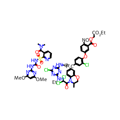 CC1COc2ccccc2N1C(=O)C(Cl)Cl.CCNc1nc(Cl)nc(NC(C)C)n1.CCOC(=O)COC(=O)c1cc(Oc2ccc(C(F)(F)F)cc2Cl)ccc1[N+](=O)[O-].COc1cc(OC)nc(NC(=O)NS(=O)(=O)c2ncccc2C(=O)N(C)C)n1